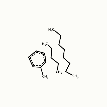 CCCCC.CCCCCCCC.Cc1ccccc1